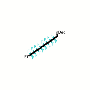 CCCCCCCCCCCC(F)(F)C(F)(F)C(F)(F)C(F)(F)C(F)(F)C(F)(F)C(F)(F)C(F)(F)CC